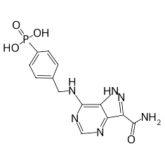 NC(=O)c1n[nH]c2c(NCc3ccc(P(=O)(O)O)cc3)ncnc12